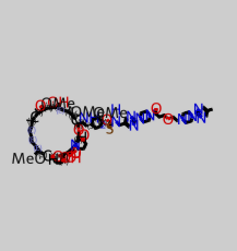 CO[C@H]1C[C@@H]2CC[C@@H](C)[C@@](O)(O2)C(=O)C(=O)N2CCCC[C@H]2C(=O)O[C@H]([C@H](N)C[C@@H]2CC[C@@H](OC(=S)NCc3cnc(N4CCN(C(=O)CCOCCN5CCN(c6ncc(C)cn6)CC5)CC4)nc3)[C@H](OC)C2)C[C@@H](OC)[C@H](C)/C=C(\C)[C@@H](O)[C@@H](OC)C(=O)[C@H](C)C[C@H](C)/C=C/C=C/C=C/1C